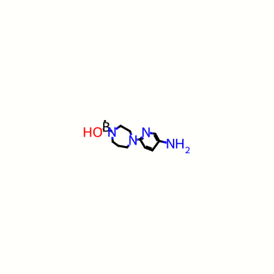 CB(O)N1CCCN(c2ccc(N)cn2)CC1